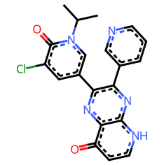 CC(C)n1cc(-c2nc3c(=O)cc[nH]c3nc2-c2cccnc2)cc(Cl)c1=O